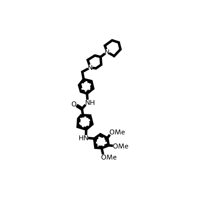 COc1cc(Nc2ccc(C(=O)Nc3ccc(CN4CCC(N5CCCCC5)CC4)cc3)cc2)cc(OC)c1OC